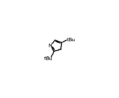 CC(C)(C)C1=CN=C(C(C)(C)C)C1